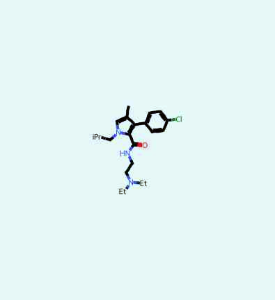 CCN(CC)CCNC(=O)c1c(-c2ccc(Cl)cc2)c(C)cn1CC(C)C